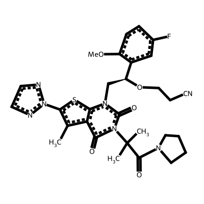 COc1ccc(F)cc1[C@H](Cn1c(=O)n(C(C)(C)C(=O)N2CCCC2)c(=O)c2c(C)c(-n3nccn3)sc21)OCCC#N